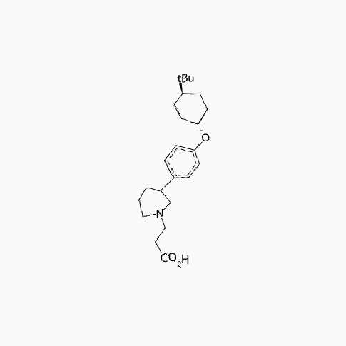 CC(C)(C)[C@H]1CC[C@H](Oc2ccc(C3CCCN(CCC(=O)O)C3)cc2)CC1